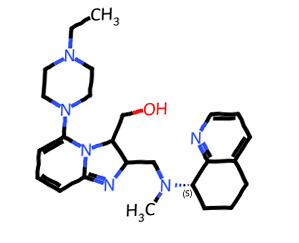 CCN1CCN(C2=CC=CC3=NC(CN(C)[C@H]4CCCc5cccnc54)C(CO)N23)CC1